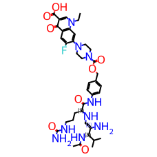 CCn1cc(C(=O)O)c(=O)c2cc(F)c(N3CCN(C(=O)OCc4ccc(NC(=O)[C@H](CCCNC(N)=O)N/C=C(\N)[C@@H](NC(C)=O)C(C)C)cc4)CC3)cc21